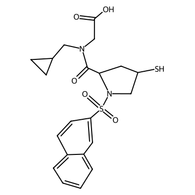 O=C(O)CN(CC1CC1)C(=O)C1CC(S)CN1S(=O)(=O)c1ccc2ccccc2c1